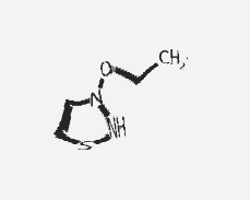 [CH2]CON1C=CSN1